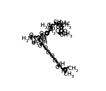 C=Cc1cc(C)nc(CCC(=O)NCCOCCOCCOCCOCCC(=O)N[C@H](C(=O)N[C@@H](CCCNC(N)=O)C(=O)Nc2ccc(COC(=O)N(C)CCN(C)C(=O)O[C@H]3C4=C(C)C5(CC5)[C@@](C)(O)C(=O)C4=C[C@@]3(C)COC(C)=O)cc2)C(C)C)c1